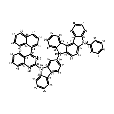 c1ccc(-n2c3ccccc3c3c4c5ccccc5n(-c5ccc6c7ccccc7n(-c7nc(-c8cccc9ccccc89)c8ccccc8n7)c6c5)c4ccc32)cc1